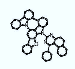 c1ccc(-c2nc(-n3c4cccc5c6cccc7c8ccccc8n(c8cc9c%10ccccc%10oc9c3c8c54)c67)nc3ccc4ccccc4c23)cc1